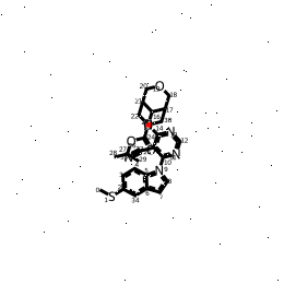 CSc1ccc2c(ccn2-c2ncnc(OC3C4COCC3CN(C(=O)OC(C)C)C4)c2C#N)c1